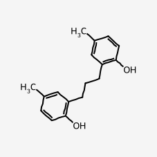 Cc1ccc(O)c(CCCc2cc(C)ccc2O)c1